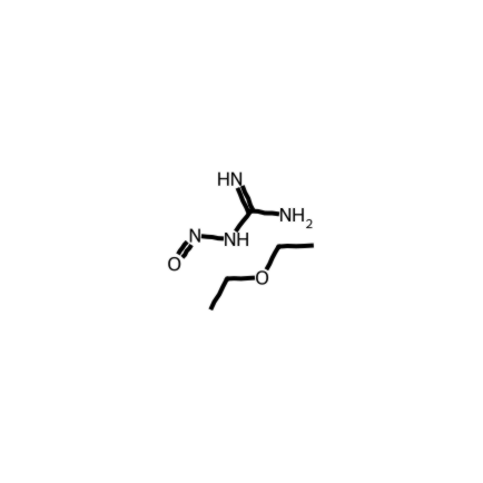 CCOCC.N=C(N)NN=O